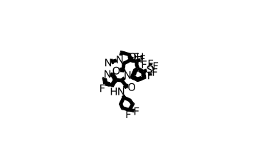 N#CN1CCC2(O)C1C(=O)N(C(C(=O)NC1CCC(F)(F)CC1)c1cncc(F)c1)c1ccc(S(F)(F)(F)(F)F)c(c1)C2(F)F